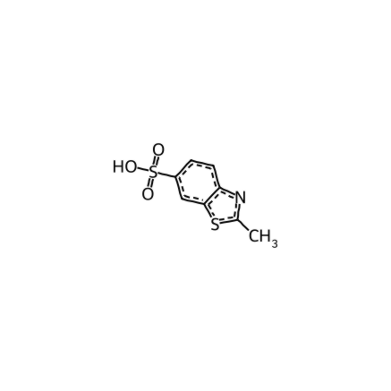 Cc1nc2ccc(S(=O)(=O)O)cc2s1